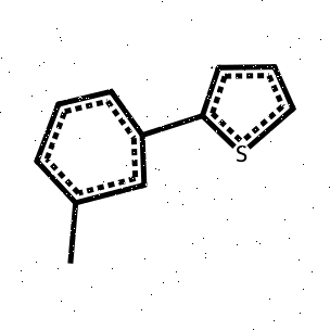 Cc1cccc(-c2[c]ccs2)c1